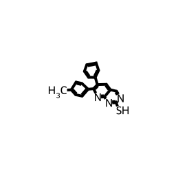 Cc1ccc(-c2nc3nc(S)ncc3cc2-c2ccccc2)cc1